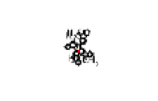 CC1(C)c2ccccc2-c2cc(N(c3ccc4c(c3)C(C)(C)c3ccccc3-4)c3ccc4ccccc4c3-c3ccc4c(c3)sc3ccccc34)ccc21